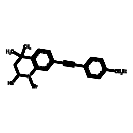 CCOC(=O)c1ccc(C#Cc2ccc3c(c2)N(C(C)C)C(S)CC3(C)C)cc1